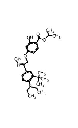 CCN(CC)c1ccc(C(COc2ccc(C(=O)OC(C)C)c(O)c2)=NO)cc1C(C)(C)C